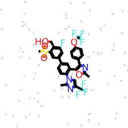 Cc1nc(-c2ccc(OC(F)(F)F)cc2)c(-c2cc(-c3cc(F)c(CO)c(S(C)(=O)=O)c3)ccc2-n2cc(C(F)(F)F)nc2C)o1